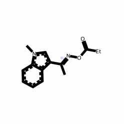 CCC(=O)O/N=C(\C)c1cn(C)c2ccccc12